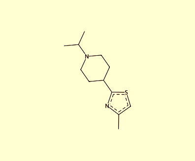 Cc1csc(C2CCN(C(C)C)CC2)n1